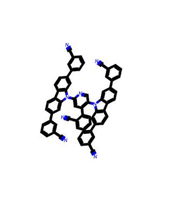 N#Cc1cccc(-c2ccc3c4ccc(-c5cccc(C#N)c5)cc4n(-c4cc(-c5ccccc5C#N)c(-n5c6cc(-c7cccc(C#N)c7)ccc6c6ccc(-c7cccc(C#N)c7)cc65)cn4)c3c2)c1